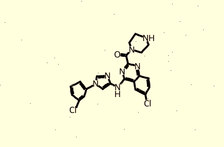 O=C(c1nc(Nc2cn(-c3cccc(Cl)c3)cn2)c2cc(Cl)ccc2n1)N1CCNCC1